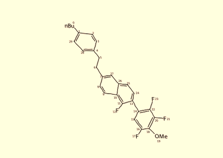 CCCCc1ccc(CCc2ccc3c(F)c(-c4cc(F)c(OC)c(F)c4F)ccc3c2)cc1